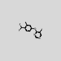 Cc1cc(Oc2ncncc2I)ccc1C(F)F